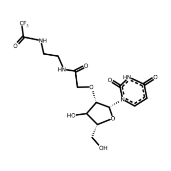 O=C(CO[C@H]1C(O)[C@@H](CO)O[C@H]1n1ccc(=O)[nH]c1=O)NCCNC(=O)C(F)(F)F